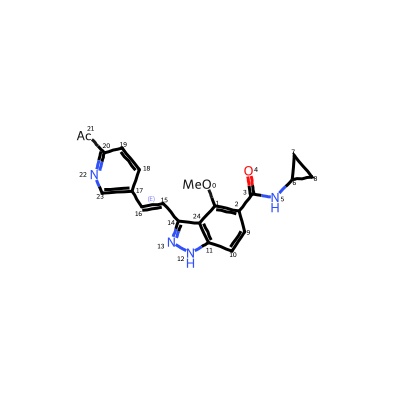 COc1c(C(=O)NC2CC2)ccc2[nH]nc(/C=C/c3ccc(C(C)=O)nc3)c12